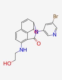 O=C1c2c3ccc(NCCO)c2C(=O)N(c2cncc(Br)c2)C1C=C3